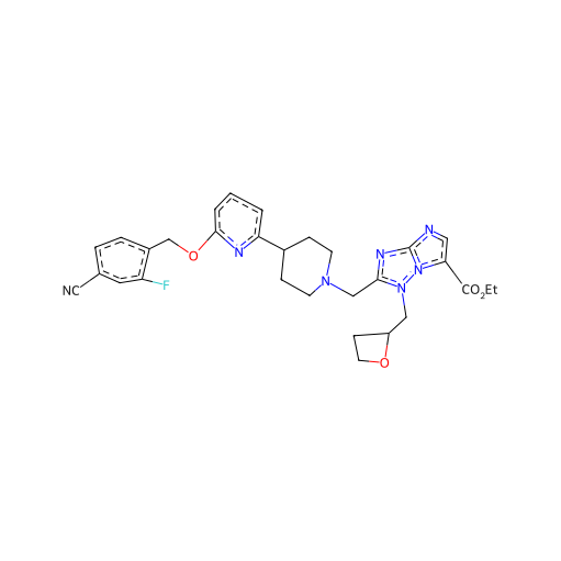 CCOC(=O)c1cnc2nc(CN3CCC(c4cccc(OCc5ccc(C#N)cc5F)n4)CC3)n(CC3CCO3)n12